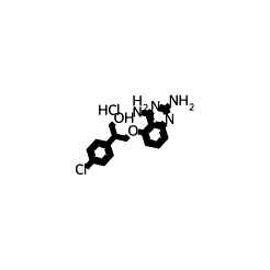 Cl.Nc1nc(N)c2c(OCC(CO)c3ccc(Cl)cc3)cccc2n1